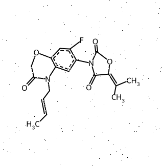 CC=CCN1C(=O)COc2cc(F)c(N3C(=O)OC(=C(C)C)C3=O)cc21